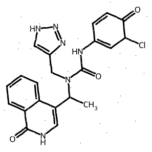 CC(c1c[nH]c(=O)c2ccccc12)N(Cc1c[nH]nn1)C(=O)NC1=CC(Cl)C(=O)C=C1